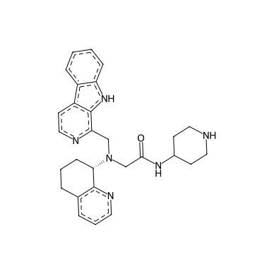 O=C(CN(Cc1nccc2c1[nH]c1ccccc12)[C@H]1CCCc2cccnc21)NC1CCNCC1